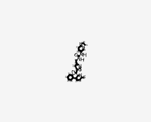 O=C(NCC1=NOC(COc2ccccc2-c2ccc(F)nc2)C1)Nc1ccc2nccn2c1